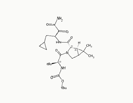 CC(C)(C)OC(=O)N[C@H](C(=O)N1CC2[C@@H]([C@H]1C(=O)NC(CC1CC1)C(=O)C(N)=O)C2(C)C)C(C)(C)C